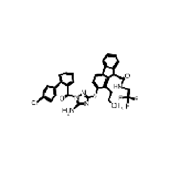 CCCc1c(Sc2nc(N)n(C(=O)c3ccccc3-c3ccc(Cl)cc3)n2)ccc2c1C(C(=O)NCC(F)(F)F)c1ccccc1-2